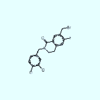 O=C1c2cc(CBr)c(F)cc2CCN1Cc1ccc(Cl)c(Cl)c1